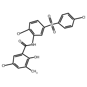 Cc1cc(Cl)cc(C(=O)Nc2cc(S(=O)(=O)c3ccc(Cl)cc3)ccc2Cl)c1O